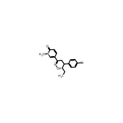 CCCC(C/C(=N\O)c1ccc(=O)n(C)c1)c1ccc(Br)cc1